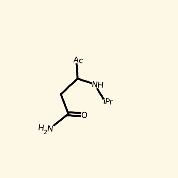 CC(=O)C(CC(N)=O)NC(C)C